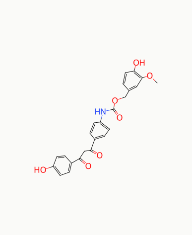 COc1cc(COC(=O)Nc2ccc(C(=O)CC(=O)c3ccc(O)cc3)cc2)ccc1O